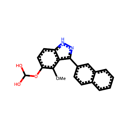 COc1c(OC(O)O)ccc2[nH]nc(-c3ccc4ccccc4c3)c12